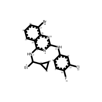 CCC(Nc1nc(Nc2ccc(F)c(Cl)c2)nc2c(Br)cccc12)C1CC1